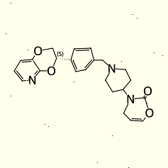 O=C1OC=CCN1C1CCN(Cc2ccc([C@H]3COc4cccnc4O3)cc2)CC1